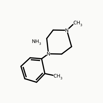 Cc1ccccc1N1CCN(C)CC1.N